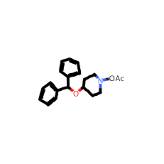 CC(=O)ON1CCC(OC(c2ccccc2)c2ccccc2)CC1